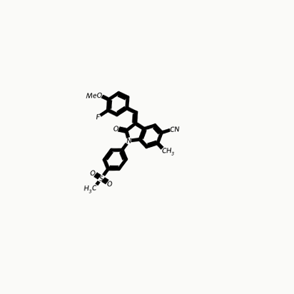 COc1ccc(C=C2C(=O)N(c3ccc(S(C)(=O)=O)cc3)c3cc(C)c(C#N)cc32)cc1F